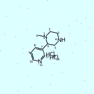 CN1CCNCC1c1cccnc1.Cl.Cl